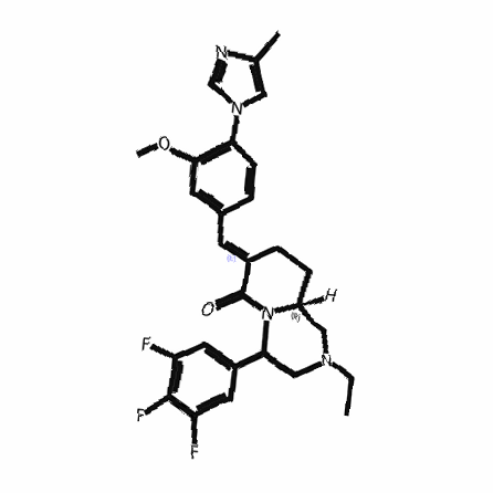 CCN1CC(c2cc(F)c(F)c(F)c2)N2C(=O)/C(=C/c3ccc(-n4cnc(C)c4)c(OC)c3)CC[C@@H]2C1